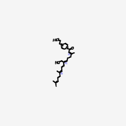 CC(C)=CCC/C(C)=C/CC/C(=C/CC/C(C)=C/C(=O)N1CCN(CCO)CC1)CO